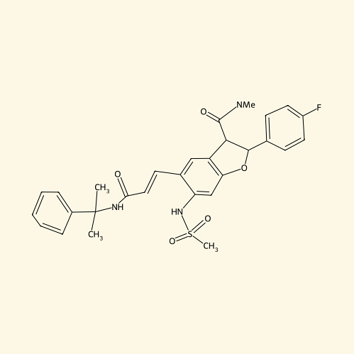 CNC(=O)C1c2cc(/C=C/C(=O)NC(C)(C)c3ccccc3)c(NS(C)(=O)=O)cc2OC1c1ccc(F)cc1